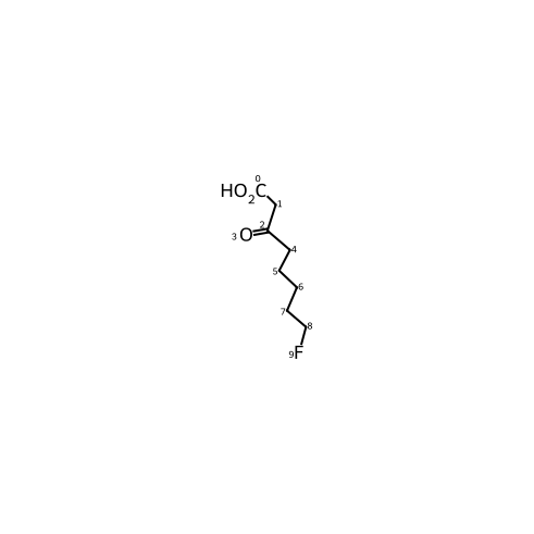 O=C(O)CC(=O)CCCCCF